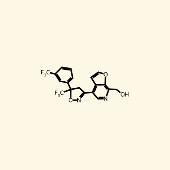 OCc1ncc(C2=NOC(c3cccc(C(F)(F)F)c3)(C(F)(F)F)C2)c2ccoc12